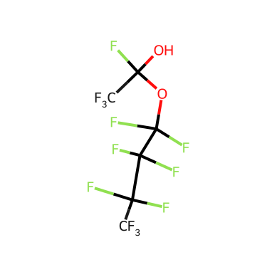 OC(F)(OC(F)(F)C(F)(F)C(F)(F)C(F)(F)F)C(F)(F)F